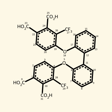 O=C(O)c1ccc(Oc2ccccc2-c2ccccc2Oc2ccc(C(=O)O)c(C(=O)O)c2C(F)(F)F)c(C(F)(F)F)c1C(=O)O